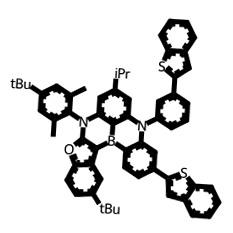 Cc1cc(C(C)(C)C)cc(C)c1N1c2cc(C(C)C)cc3c2B(c2ccc(-c4cc5ccccc5s4)cc2N3c2cccc(-c3cc4ccccc4s3)c2)c2c1oc1ccc(C(C)(C)C)cc21